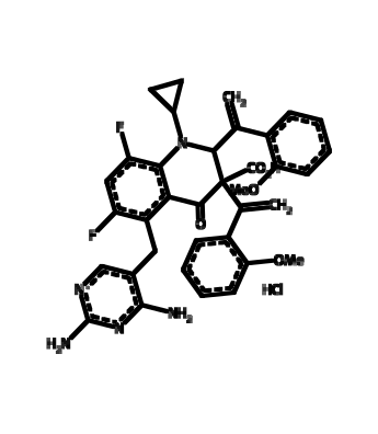 C=C(c1ccccc1OC)C1N(C2CC2)c2c(F)cc(F)c(Cc3cnc(N)nc3N)c2C(=O)C1(C(=C)c1ccccc1OC)C(=O)O.Cl